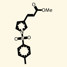 COC(=O)C=Cc1ccn(S(=O)(=O)c2ccc(C)cc2)c1